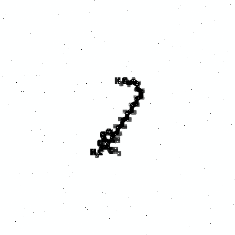 CC/C=C\C/C=C\C/C=C/CCCCCCCC(=O)N[C@@H]1C(=O)O[C@@H](C)[C@@H]1C